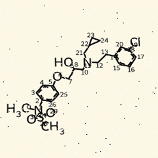 CN(c1ccc(OC[C@@H](O)CN(CCc2cccc(Cl)c2)CC2CC2)cc1)S(C)(=O)=O